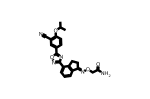 CC(C)Oc1ccc(-c2nc(-c3cccc4c3CCC4=NOCC(N)=O)no2)cc1C#N